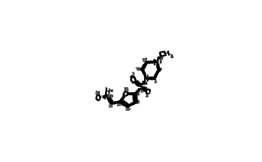 CN1CCN(S(=O)(=O)c2ccc(C=[NH+][O-])o2)CC1